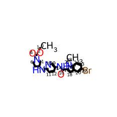 CCOC(=O)N1CCC(Nc2ccc(NC(=O)c3cc4cc(Br)ccc4n3CC)cn2)C1